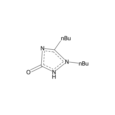 CCCCc1nc(=O)[nH]n1CCCC